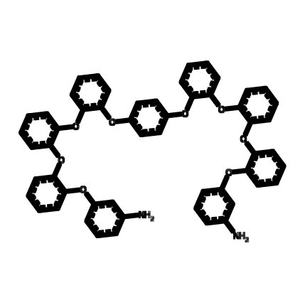 Nc1cccc(Oc2ccccc2Oc2ccccc2Oc2ccccc2Oc2ccc(Oc3ccccc3Oc3ccccc3Oc3ccccc3Oc3cccc(N)c3)cc2)c1